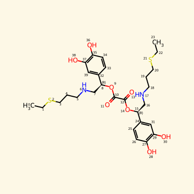 CCSCCCNC[C@H](OC(=O)C(=O)O[C@@H](CNCCCSCC)c1ccc(O)c(O)c1)c1ccc(O)c(O)c1